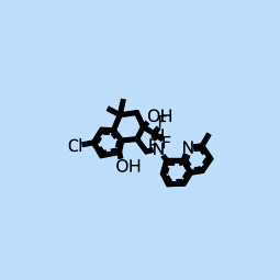 Cc1ccc2cccc(NCC3c4c(O)cc(Cl)cc4C(C)(C)CC3(O)C(F)(F)F)c2n1